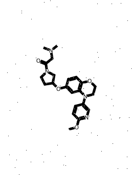 COc1ccc(N2CCOc3ccc(OC4CCN(C(=O)CN(C)C)C4)cc32)cn1